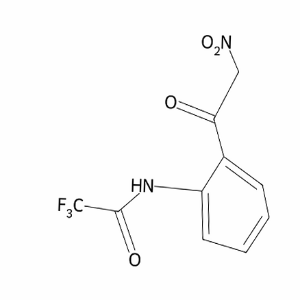 O=C(C[N+](=O)[O-])c1ccccc1NC(=O)C(F)(F)F